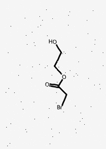 O=C(CBr)OCCO